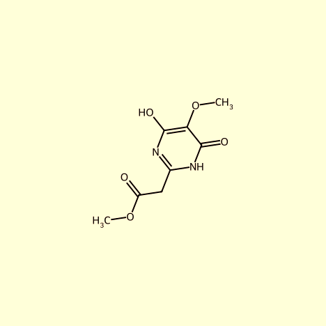 COC(=O)Cc1nc(O)c(OC)c(=O)[nH]1